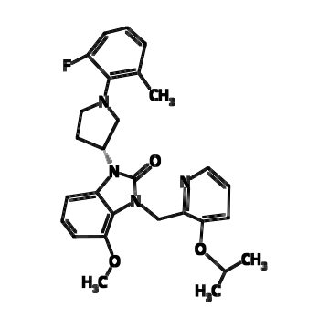 COc1cccc2c1n(Cc1ncccc1OC(C)C)c(=O)n2[C@@H]1CCN(c2c(C)cccc2F)C1